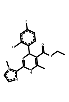 CCOC(=O)C1=C(C)NC(c2nccn2C)=NC1c1ccc(F)cc1Cl